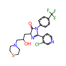 O=C1C(CC(O)CN2CCSCC2)N=C(c2ccncc2Cl)N1c1ccc(C(F)(F)F)cc1